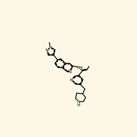 C/C=C(\Nc1cc2cc(-c3cnn(C)c3)ccc2cn1)c1cncc(CC2CCNCC2)c1